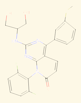 CSc1cccc(-c2nc(NC(CO)CO)nc3c2ccc(=O)n3-c2c(F)cccc2F)c1